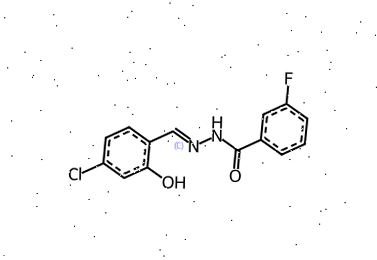 O=C(N/N=C/c1ccc(Cl)cc1O)c1cccc(F)c1